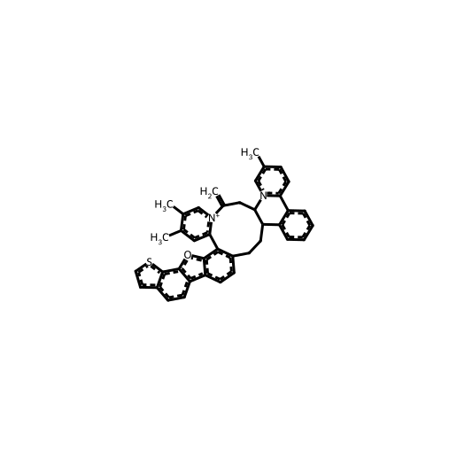 C=C1CC2C(CCc3ccc4c(oc5c4ccc4ccsc45)c3-c3cc(C)c(C)c[n+]31)c1ccccc1-c1ccc(C)c[n+]12